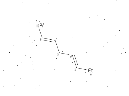 CCC=CCC=CCCC